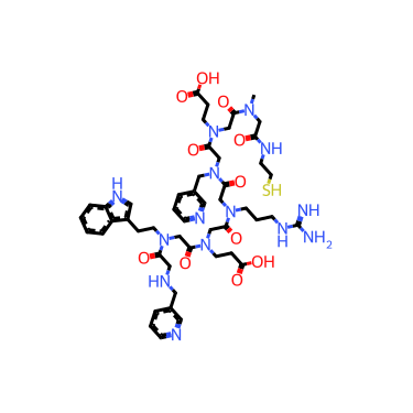 CN(CC(=O)NCCS)C(=O)CN(CCC(=O)O)C(=O)CN(Cc1cccnc1)C(=O)CN(CCCNC(=N)N)C(=O)CN(CCC(=O)O)C(=O)CN(CCc1c[nH]c2ccccc12)C(=O)CNCc1cccnc1